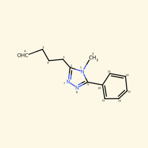 Cn1c(CCCC=O)nnc1-c1ccccc1